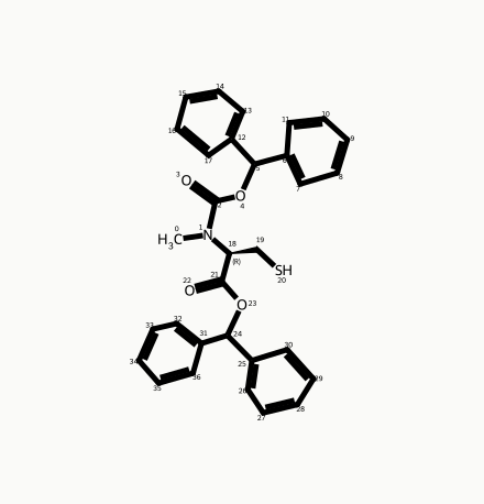 CN(C(=O)OC(c1ccccc1)c1ccccc1)[C@@H](CS)C(=O)OC(c1ccccc1)c1ccccc1